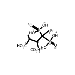 CCCC(C(C(=O)O)C(C)C(=O)O)(P(=O)(O)O)P(=O)(O)O